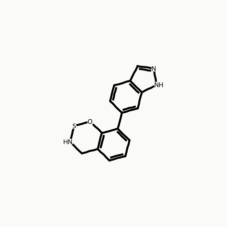 c1cc2c(c(-c3ccc4cn[nH]c4c3)c1)OSNC2